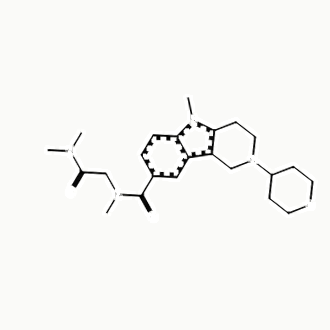 CN(C)C(=O)CN(C)C(=O)c1ccc2c(c1)c1c(n2C)CCN(C2CCOCC2)C1